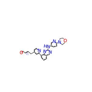 O=C/C=C/Cc1ccnc(-c2cccc3cnc(Nc4ccc(N5CCOCC5)nc4)nc23)c1